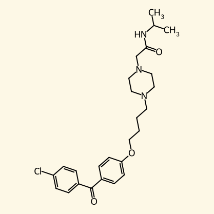 CC(C)NC(=O)CN1CCN(CCCCOc2ccc(C(=O)c3ccc(Cl)cc3)cc2)CC1